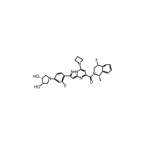 C[C@@H]1c2ccccc2C(F)CN1C(=O)c1cc(N2CCC2)n2nc(-c3ccc(N4C[C@@H](O)[C@H](O)C4)cc3F)cc2n1